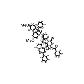 COc1ccc(C(OC[C@@]23CO[C@@](n4cc(C)c(NC(=O)c5ccccc5)nc4=O)(CO2)C3OP(SCCSC(=O)c2ccccc2)N2CCCC2)(c2ccccc2)c2ccc(OC)cc2)cc1